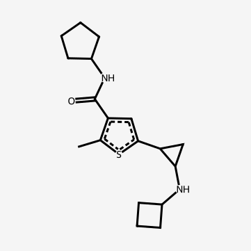 Cc1sc(C2CC2NC2CCC2)cc1C(=O)NC1CCCC1